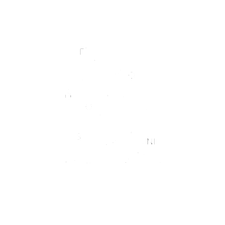 COc1cc(F)ccc1-c1c(C)cc2c(c1C(OC=O)c1ccc(C)s1)C(C)=CC(C)(C)N2